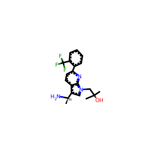 C[C@@H](N)c1cn(CC(C)(C)O)c2nc(-c3ccccc3C(F)(F)F)ccc12